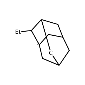 CCC1[C]2CC3CC(C2)CC1C3